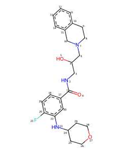 O=C(NCC(O)CN1CCc2ccccc2C1)c1ccc(F)c(NC2CCOCC2)c1